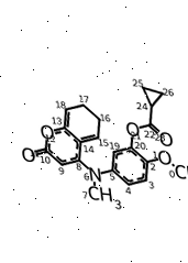 COc1ccc(N(C)c2cc(=O)oc3c2=CCCC=3)cc1OC(=O)C1CC1